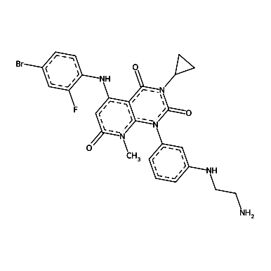 Cn1c(=O)cc(Nc2ccc(Br)cc2F)c2c(=O)n(C3CC3)c(=O)n(-c3cccc(NCCN)c3)c21